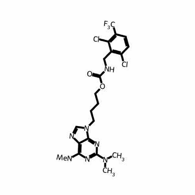 CNc1nc(N(C)C)nc2c1ncn2CCCCOC(=O)NCc1c(Cl)ccc(C(F)(F)F)c1Cl